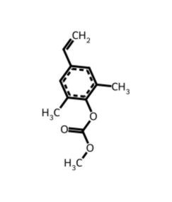 C=Cc1cc(C)c(OC(=O)OC)c(C)c1